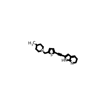 CC1CCN(Cc2ccc(C#Cc3cc4c([nH]3)=NCCC=4)s2)CC1